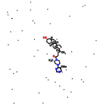 COc1cncnc1N1CCN(C(=O)CC[C@@H](C)[C@H]2CC[C@H]3[C@@H]4CC[C@H]5C[C@@H](O)CC[C@]5(C)[C@H]4CC[C@]23C)[C@@H](C)C1